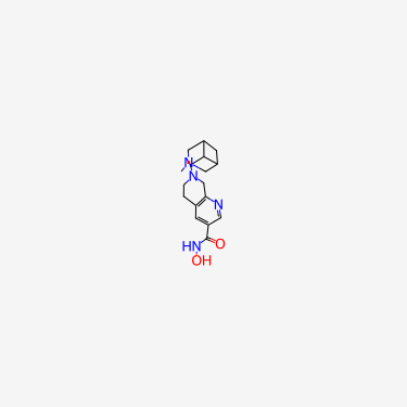 CN1CC2CC(C1)C2CN1CCc2cc(C(=O)NO)cnc2C1